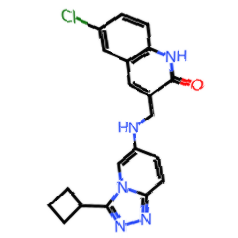 O=c1[nH]c2ccc(Cl)cc2cc1CNc1ccc2nnc(C3CCC3)n2c1